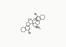 CC[Si](CC)(C1c2cc(Br)c3c(c2CC1C)CCCC3)C1c2cc(Br)c3c(c2CC1C)CCCC3